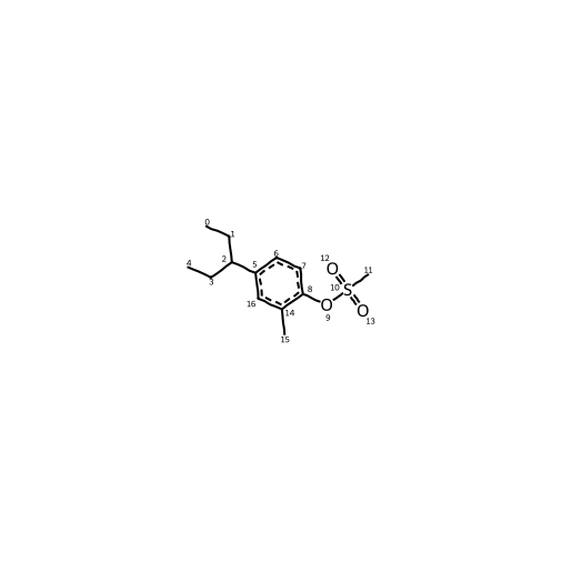 CCC(CC)c1ccc(OS(C)(=O)=O)c(C)c1